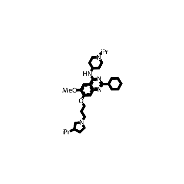 COc1cc2c(NC3CCN(C(C)C)CC3)nc(C3CCCCC3)nc2cc1OCCCN1CCC(C(C)C)C1